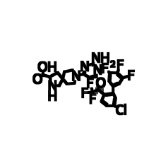 Nc1nc(O[C@H](c2ccc(Cl)cc2-c2cc(F)c(F)c(F)c2)C(F)(F)F)cc(N2CCC3(CC2)CNC(C(=O)O)C3)n1